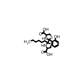 CCCCCCC1(C2(c3ccccc3O)NC(C(=O)O)CS2)NC(C(=O)O)CS1